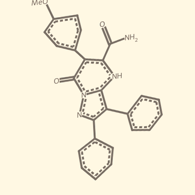 COc1ccc(-c2c(C(N)=O)[nH]c3c(-c4ccccc4)c(-c4ccccc4)nn3c2=O)cc1